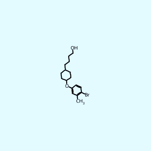 Cc1cc(OC2CCC(CCCCO)CC2)ccc1Br